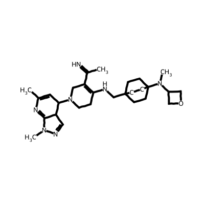 CC(=N)C1=C(NCC23CCC(N(C)C4COC4)(CC2)CC3)CCN(C2C=C(C)N=C3C2C=NN3C)C1